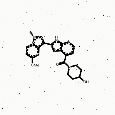 COc1ccc2c(c1)c(-c1cc3c(C(=O)N4CCC(O)CC4)ccnc3[nH]1)cn2C